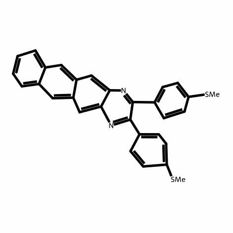 CSc1ccc(-c2nc3cc4cc5ccccc5cc4cc3nc2-c2ccc(SC)cc2)cc1